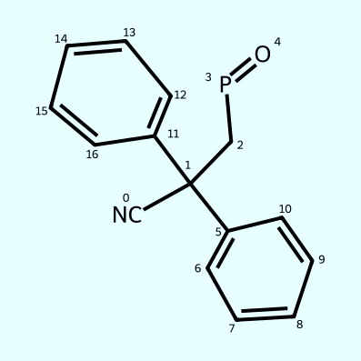 N#CC(CP=O)(c1ccccc1)c1ccccc1